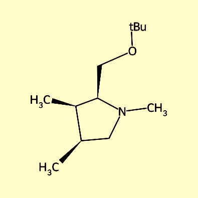 C[C@@H]1[C@H](C)CN(C)[C@@H]1COC(C)(C)C